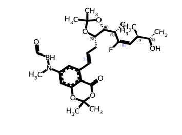 C[C@H](O)[C@H](C)/C=C(/F)[C@@H](C)[C@H]1OC(C)(C)O[C@H]1C/C=C/c1cc(N(C)BC=O)cc2c1C(=O)OC(C)(C)O2